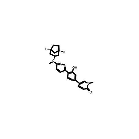 CN(c1ccc(-c2ccc(-c3ccc(=O)n(C)c3)cc2O)nn1)[C@H]1C[C@@H]2CC[C@@H](C2)C1